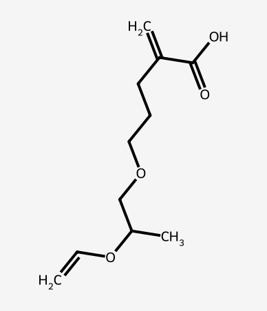 C=COC(C)COCCCC(=C)C(=O)O